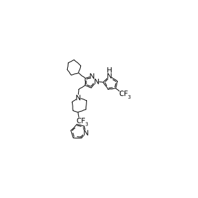 FC(F)(F)c1c[nH]c(-n2cc(CN3CCC(C(F)(F)F)CC3)c(C3CCCCC3)n2)c1.c1ccncc1